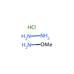 CON.Cl.NN